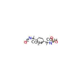 C[C@@](N=C=O)(C(=O)O)c1ccc([C@](C)(N=S(=O)=O)C(=O)O)cc1